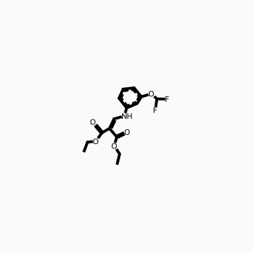 CCOC(=O)C(=CNc1cccc(OC(F)F)c1)C(=O)OCC